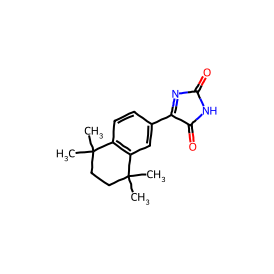 CC1(C)CCC(C)(C)c2cc(C3=NC(=O)NC3=O)ccc21